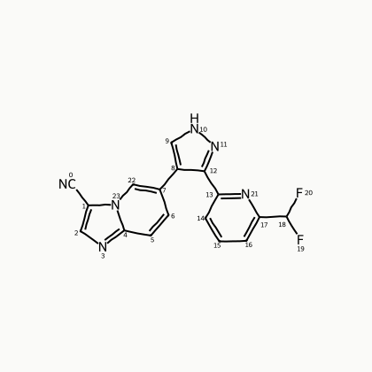 N#Cc1cnc2ccc(-c3c[nH]nc3-c3cccc(C(F)F)n3)cn12